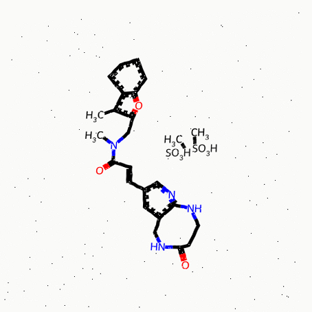 CS(=O)(=O)O.CS(=O)(=O)O.Cc1c(CN(C)C(=O)C=Cc2cnc3c(c2)CNC(=O)CCN3)oc2ccccc12